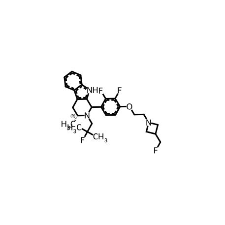 C[C@@H]1Cc2c([nH]c3ccccc23)C(c2ccc(OCCN3CC(CF)C3)c(F)c2F)N1CC(C)(C)F